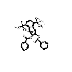 CC(C)(C)c1ccc(C(C)(C)C)c2c1C1OC2C(OC(=O)c2ccccc2)C1OC(=O)c1ccccc1